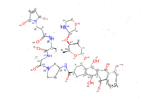 COc1cccc2c1C(=O)c1c(O)c3c(c(O)c1C2=O)C[C@@H](C(=O)NC1CCN(C(=O)[C@H](C)NC(=O)[C@H](C)NC(=O)CCN2C(=O)C=CC2=O)C1)C[C@@H]3O[C@H]1CC[C@H](O[C@@H]2COCCN2)[C@H](C)O1